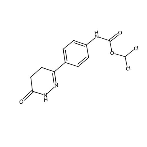 O=C1CCC(c2ccc(NC(=O)OC(Cl)Cl)cc2)=NN1